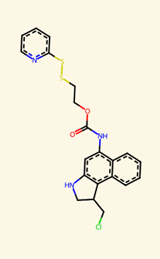 O=C(Nc1cc2c(c3ccccc13)C(CCl)CN2)OCCSSc1ccccn1